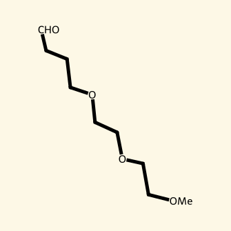 COCCOCCOCCCC=O